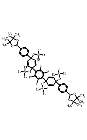 CC[Si](CC)(CC)OC1(c2ccc(B3OC(C)(C)C(C)(C)O3)cc2)C=CC(O[Si](CC)(CC)CC)(c2c(F)c(F)c(C3(O[Si](CC)(CC)CC)C=CC(O[Si](CC)(CC)CC)(c4ccc(B5OC(C)(C)C(C)(C)O5)cc4)C=C3)c(F)c2F)C=C1